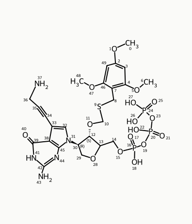 COc1cc(OC)c(CSCO[C@@H]2C(COP(=O)(O)OP(=O)(O)OP(=O)(O)O)OC[C@H]2n2cc(C#CCN)c3c(=O)[nH]c(N)nc32)c(OC)c1